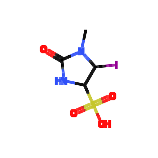 CN1C(=O)NC(S(=O)(=O)O)C1I